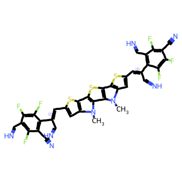 Cn1c2cc(/C=C(\C=N)c3c(F)c(F)c(C=N)c(F)c3C#N)sc2c2sc3c4sc(/C=C(\C=N)c5c(F)c(F)c(C#N)c(F)c5C=N)cc4n(C)c3c21